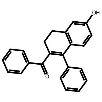 O=C(C1=C(c2ccccc2)c2ccc(O)cc2CC1)c1ccccc1